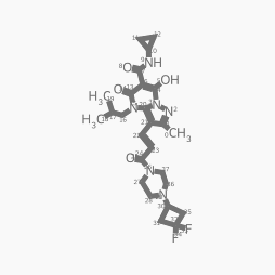 Cc1nn2c(O)c(C(=O)NC3CC3)c(=O)n(CC(C)C)c2c1/C=C/C(=O)N1CCN(C2CC(F)(F)C2)CC1